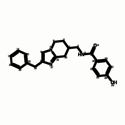 O=C(NCC1CCn2cc(Cc3ccccc3)nc2C1)c1ccc(O)cc1